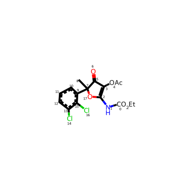 CCOC(=O)NC1=C(OC(C)=O)C(=O)C(C)(c2cccc(Cl)c2Cl)O1